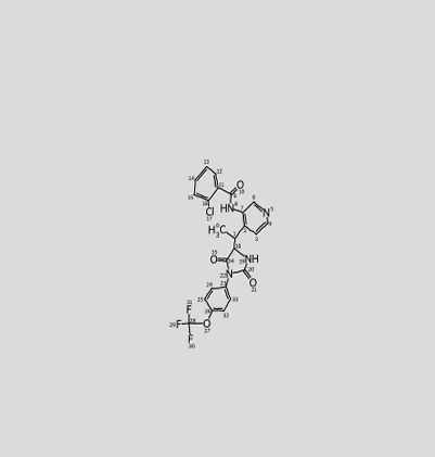 CC(c1ccncc1NC(=O)c1ccccc1Cl)C1NC(=O)N(c2ccc(OC(F)(F)F)cc2)C1=O